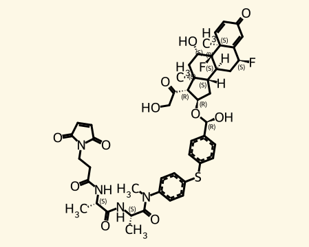 C[C@H](NC(=O)CCN1C(=O)C=CC1=O)C(=O)N[C@@H](C)C(=O)N(C)c1ccc(Sc2ccc([C@H](O)O[C@@H]3C[C@H]4[C@@H]5C[C@H](F)C6=CC(=O)C=C[C@]6(C)[C@@]5(F)[C@@H](O)C[C@]4(C)[C@H]3C(=O)CO)cc2)cc1